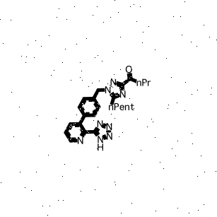 CCCCCc1nc(C(=O)CCC)nn1Cc1ccc(-c2cccnc2-c2nnn[nH]2)cc1